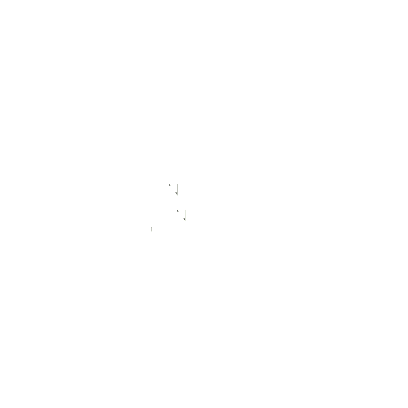 ClN1Cc2ccccc2C=N1